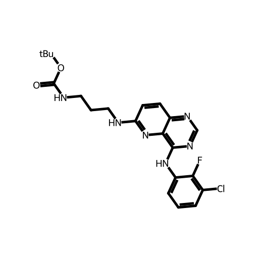 CC(C)(C)OC(=O)NCCCNc1ccc2ncnc(Nc3cccc(Cl)c3F)c2n1